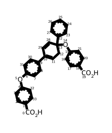 O=C(O)c1ccc(Oc2ccc(C3=CCC(Oc4ccc(C(=O)O)cc4)(c4ccccc4)C=C3)cc2)cc1